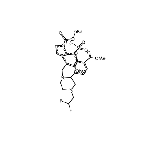 CCCCOC(=O)n1ccc2c(CN3CCN(CC(F)F)CC3c3ccc(C(=O)OC)c(OS(=O)(=O)C(F)(F)F)c3)c(OC)cc(C)c21